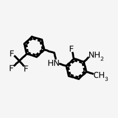 Cc1ccc(NCc2cccc(C(F)(F)F)c2)c(F)c1N